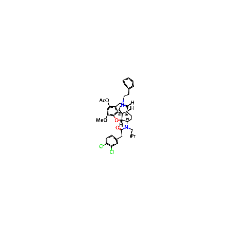 COc1cc(OC(C)=O)c2c3c1O[C@H]1[C@@H](N(CC(C)C)C(=O)Cc4ccc(Cl)c(Cl)c4)CC[C@H]4[C@@H](C2)N(CCc2ccccc2)CC[C@@]341